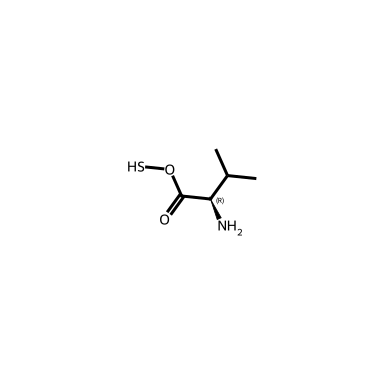 CC(C)[C@@H](N)C(=O)OS